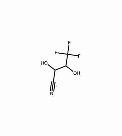 N#CC(O)C(O)C(F)(F)F